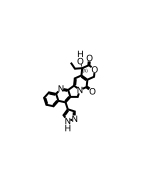 CC[C@@]1(O)C(=O)OCc2c1cc1n(c2=O)Cc2c-1nc1ccccc1c2-c1cn[nH]c1